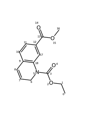 CCOC(=O)N1CC=Cc2ccc(C(=O)OC)cc21